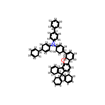 C1=CCCC(C2(C3=CC=CCC3)C3=C(C=CCC3)c3c2ccc2c3OC3C(C4=CC=C(N(C5=CCC(C6C=CC=CC6)C=C5)c5ccc(-c6ccccc6)cc5)CC4)=CC=CC23)=C1